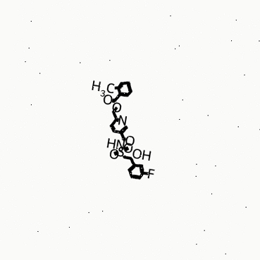 Cc1ccccc1C(=O)OCc1ccc(C(=O)NS(=O)(=O)CC(O)c2cccc(F)c2)cn1